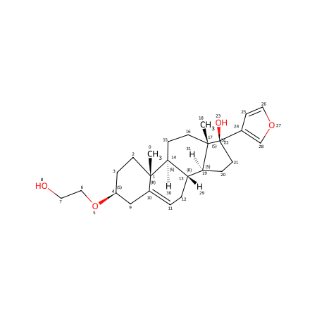 C[C@]12CC[C@H](OCCO)CC1=CC[C@@H]1[C@@H]2CC[C@@]2(C)[C@H]1CC[C@@]2(O)c1ccoc1